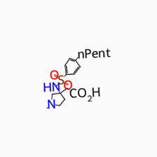 CCCCCc1ccc(S(=O)(=O)NC2(CC(=O)O)CCN(C)C2)cc1